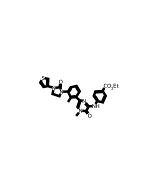 CCOC(=O)c1ccc(Nc2nc(-c3cccc(N4CCN(c5ccsc5)C4=O)c3C)cn(C)c2=O)cc1